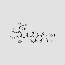 COc1c(OP(=O)(O)O)cc(CNc2ncnc3c2ncn3[C@@H]2O[C@H](CO)[C@@H](O)[C@H]2O)c(O)c1OC